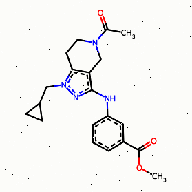 COC(=O)c1cccc(Nc2nn(CC3CC3)c3c2CN(C(C)=O)CC3)c1